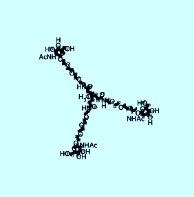 CC(=O)NC1C(OCCOCCOCCOCCNC(=O)CCC(C)(CCC(=O)NCCOCCOCCOCCOC2OC(CO)C(O)C(O)C2NC(C)=O)CCC(=O)NCCOCCOCCOCCOC2OC(CO)[C@H](O)C(O)C2NC(C)=O)OC(CO)C(O)C1O